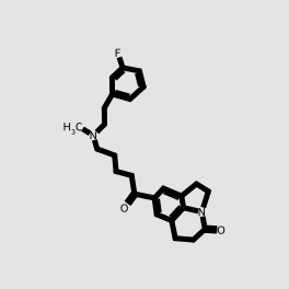 CN(CCCCC(=O)c1cc2c3c(c1)CCN3C(=O)CC2)CCc1cccc(F)c1